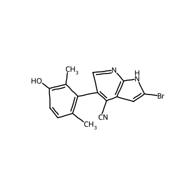 Cc1ccc(O)c(C)c1-c1cnc2[nH]c(Br)cc2c1C#N